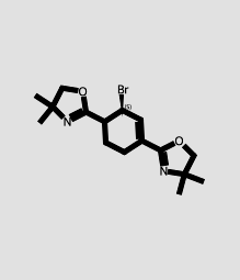 CC1(C)COC(C2=C[C@H](Br)C(C3=NC(C)(C)CO3)CC2)=N1